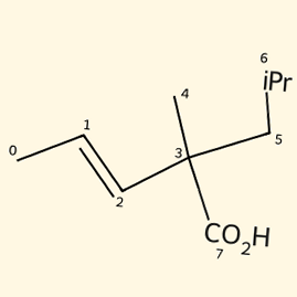 CC=CC(C)(CC(C)C)C(=O)O